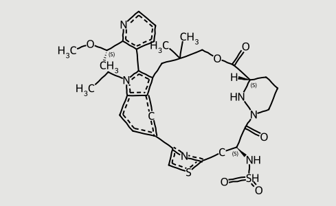 CCn1c(-c2cccnc2[C@H](C)OC)c2c3cc(ccc31)-c1csc(n1)C[C@H](N[SH](=O)=O)C(=O)N1CCC[C@H](N1)C(=O)OCC(C)(C)C2